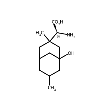 CC1CC2CC(O)(C1)CC(C)([C@H](N)C(=O)O)C2